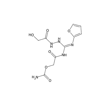 NC(=O)OCC(=O)NC(=Nc1ccco1)NNC(=O)CO